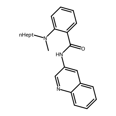 CCCCCCCN(C)c1ccccc1C(=O)Nc1cnc2ccccc2c1